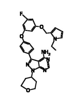 CCn1cccc1COc1cc(F)cc(Oc2ccc(-c3nn(C4CCOCC4)c4ncnc(N)c34)cc2)c1